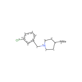 CNC1CCN(Cc2cccc(Cl)c2)CC1